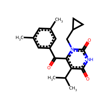 Cc1cc(C)cc(C(=O)c2c(C(C)C)c(=O)[nH]c(=O)n2CC2CC2)c1